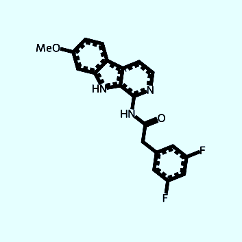 COc1ccc2c(c1)[nH]c1c(NC(=O)Cc3cc(F)cc(F)c3)nccc12